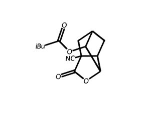 CCC(C)C(=O)OC1C2CC3C1OC(=O)C3(C#N)C2